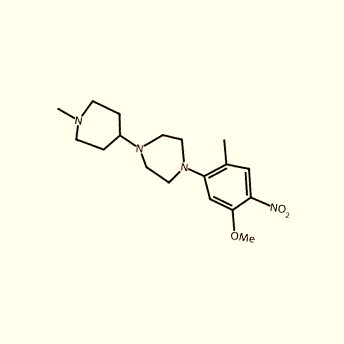 COc1cc(N2CCN(C3CCN(C)CC3)CC2)c(C)cc1[N+](=O)[O-]